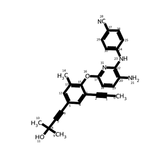 CC#Cc1cc(C#CC(C)(C)O)cc(C)c1Oc1ccc(N)c(Nc2ccc(C#N)cc2)n1